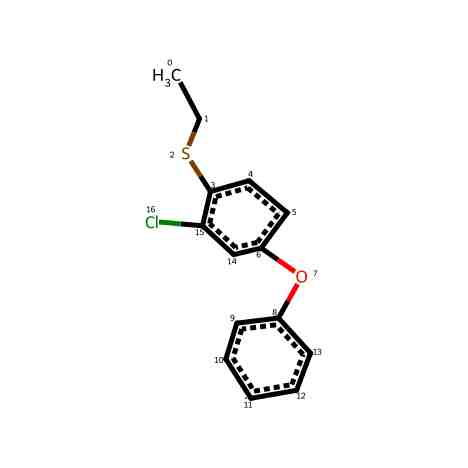 CCSc1ccc(Oc2cc[c]cc2)cc1Cl